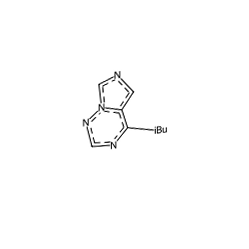 CCC(C)c1ncnn2cncc12